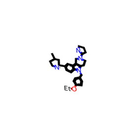 CCOc1ccc(Cn2c3c(c4cc(C5CC(C)CC[N]5)ccc42)CN(C2=NCCC2)CC3)cc1